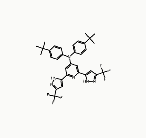 CC(C)(C)c1ccc(N(c2ccc(C(C)(C)C)cc2)c2cc(-c3cc(C(F)(F)F)n[nH]3)nc(-c3cc(C(F)(F)F)n[nH]3)c2)cc1